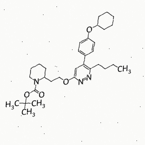 CCCCc1nnc(OCCC2CCCCN2C(=O)OC(C)(C)C)cc1-c1ccc(OC2CCCCC2)cc1